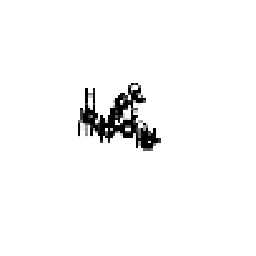 C=CC(=O)N1CCC2(C1)CN(c1nc(Nc3cn[nH]c3)ncc1-c1ccc(Oc3nccc(C)n3)c(F)c1)C2